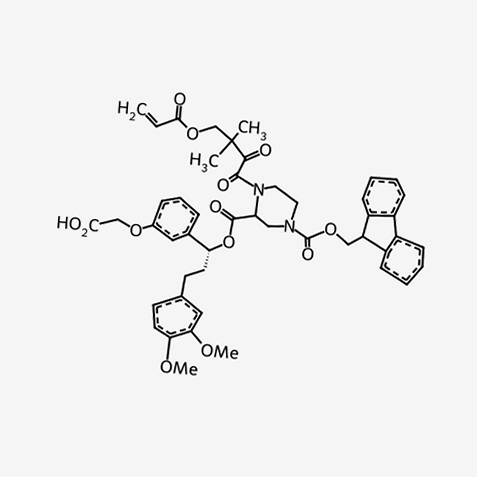 C=CC(=O)OCC(C)(C)C(=O)C(=O)N1CCN(C(=O)OCC2c3ccccc3-c3ccccc32)CC1C(=O)O[C@H](CCc1ccc(OC)c(OC)c1)c1cccc(OCC(=O)O)c1